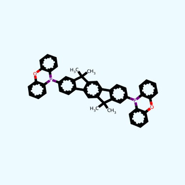 CC1(C)c2cc(P3c4ccccc4Oc4ccccc43)ccc2-c2cc3c(cc21)-c1ccc(P2c4ccccc4Oc4ccccc42)cc1C3(C)C